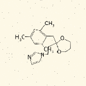 Cc1cc(C)c(CC2(CCn3ccnc3)OCCCO2)c(C)c1